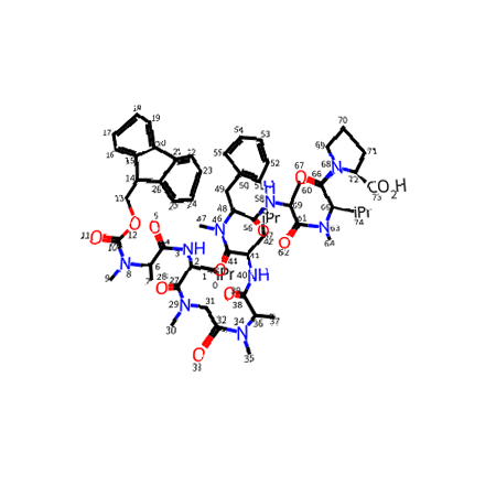 CC(C)CC(NC(=O)C(C)N(C)C(=O)OCC1c2ccccc2-c2ccccc21)C(=O)N(C)CC(=O)N(C)C(C)C(=O)NC(CC(C)C)C(=O)N(C)C(Cc1ccccc1)C(=O)NC(C)C(=O)N(C)C(C(=O)N1CCC[C@H]1C(=O)O)C(C)C